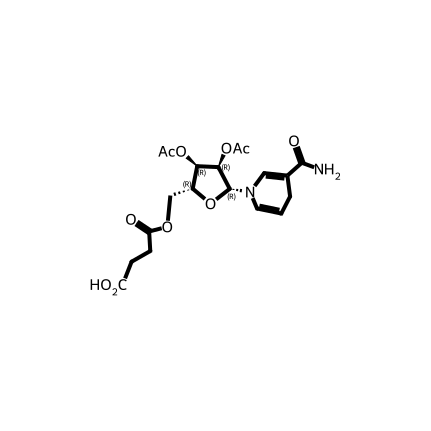 CC(=O)O[C@@H]1[C@H](OC(C)=O)[C@@H](COC(=O)CCC(=O)O)O[C@H]1N1C=CCC(C(N)=O)=C1